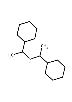 CC(NC(C)C1CCCCC1)C1CCCCC1